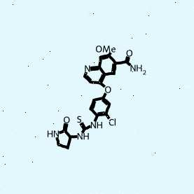 COc1cc2nccc(Oc3ccc(NC(=S)NC4CCNC4=O)c(Cl)c3)c2cc1C(N)=O